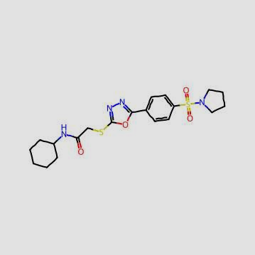 O=C(CSc1nnc(-c2ccc(S(=O)(=O)N3CCCC3)cc2)o1)NC1CCCCC1